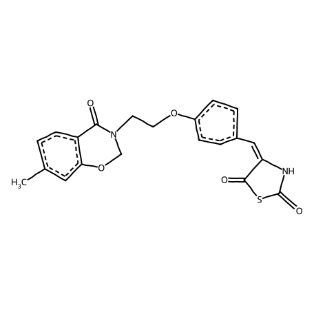 Cc1ccc2c(c1)OCN(CCOc1ccc(C=C3NC(=O)SC3=O)cc1)C2=O